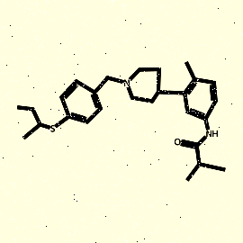 CCC(C)Sc1ccc(CN2CCC(c3cc(NC(=O)C(C)C)ccc3C)CC2)cc1